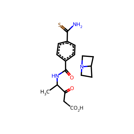 C1CN2CCC12.CC(NC(=O)c1ccc(C(N)=S)cc1)C(=O)CC(=O)O